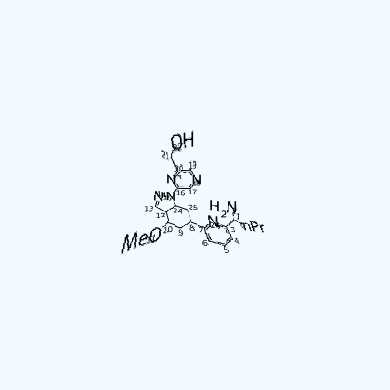 CCC[C@H](N)c1cccc(C2CC(OC)C3C=NN(c4cncc(CO)n4)C3C2)n1